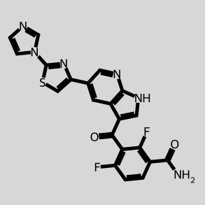 NC(=O)c1ccc(F)c(C(=O)c2c[nH]c3ncc(-c4csc(-n5ccnc5)n4)cc23)c1F